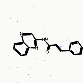 O=C(/C=C/c1ccccc1)Nc1cnc2ccccc2n1